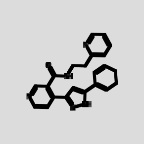 O=C(NCCc1ccccn1)c1cnccc1-c1cc(C2=CCCC=C2)[nH]n1